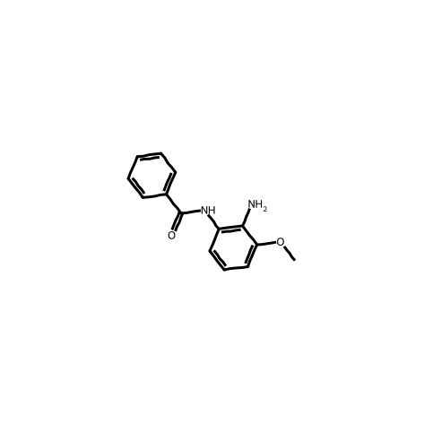 COc1cccc(NC(=O)c2ccccc2)c1N